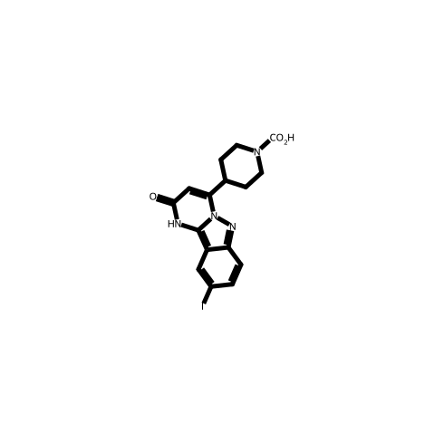 O=C(O)N1CCC(c2cc(=O)[nH]c3c4cc(I)ccc4nn23)CC1